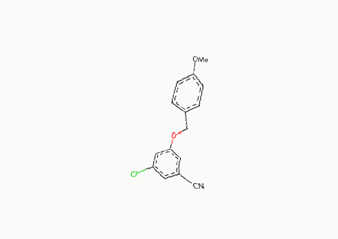 COc1ccc(COc2cc(Cl)cc(C#N)c2)cc1